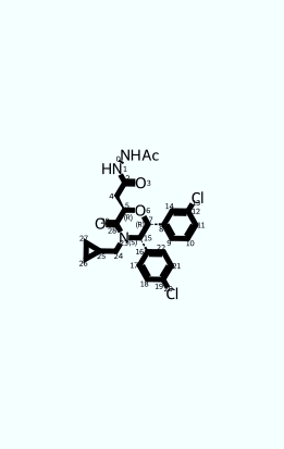 CC(=O)NNC(=O)C[C@H]1O[C@H](c2cccc(Cl)c2)[C@H](c2ccc(Cl)cc2)N(CC2CC2)C1=O